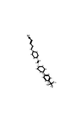 N#CC=CCC[C@H]1CC[C@H](/C=C/[C@H]2CC[C@H](c3ccc(C(F)(F)F)cc3)CC2)CC1